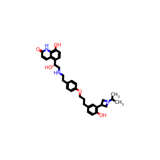 CC(C)N1CC(c2cc(CCCOc3ccc(CCNC[C@H](O)c4ccc(O)c5[nH]c(=O)ccc45)cc3)ccc2O)C1